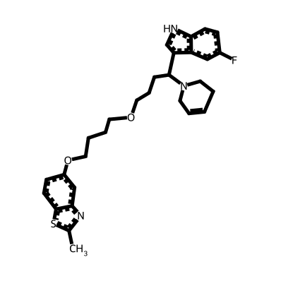 Cc1nc2cc(OCCCCOCCCC(c3c[nH]c4ccc(F)cc34)N3CC=CCC3)ccc2s1